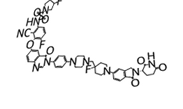 N#Cc1c(NS(=O)(=O)N2CC[C@@H](F)C2)ccc(F)c1Oc1ccc2ncn(-c3ccc(N4CCN(CC5(F)CCN(c6ccc7c(c6)CN([C@H]6CCC(=O)NC6=O)C7=O)CC5)CC4)cc3)c(=O)c2c1